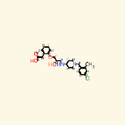 Cc1cc(Cl)ccc1CN1CCC(NC[C@@H](O)COc2ccccc2CC(=O)O)CC1